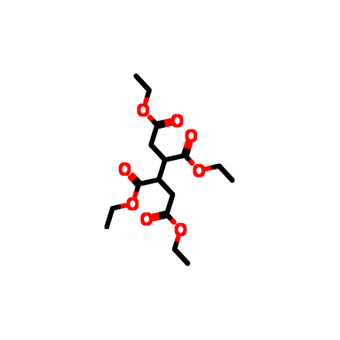 CCOC(=O)CC(C(=O)OCC)C(CC(=O)OCC)C(=O)OCC